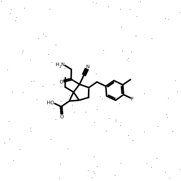 CCC12C(CC(Cc3ccc(F)c(C)c3)C1(C#N)C(=O)CN)C2C(=O)O